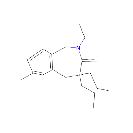 C=C1N(CC)Cc2ccc(C)cc2CC1(CCC)CCC